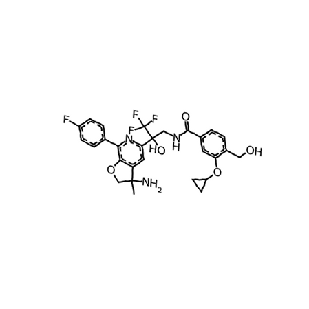 CC1(N)COc2c1cc(C(O)(CNC(=O)c1ccc(CO)c(OC3CC3)c1)C(F)(F)F)nc2-c1ccc(F)cc1